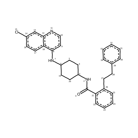 O=C(NC1CCC(Nc2ccnc3cc(Cl)ccc23)CC1)c1ccccc1CCc1ccccc1